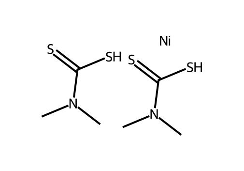 CN(C)C(=S)S.CN(C)C(=S)S.[Ni]